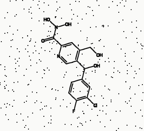 O=C(c1cc(CO)c(C(O)c2ccc(F)c(Cl)c2)cn1)N(O)O